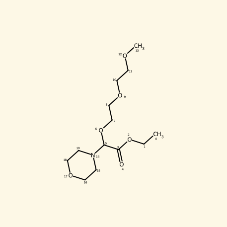 CCOC(=O)C(OCCOCCOC)N1CCOCC1